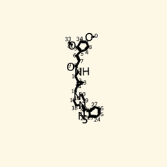 COc1ccc(/C=C/C(=O)NCC2CC2CN2CCN(c3nsc4ccccc34)CC2)c(OC)c1